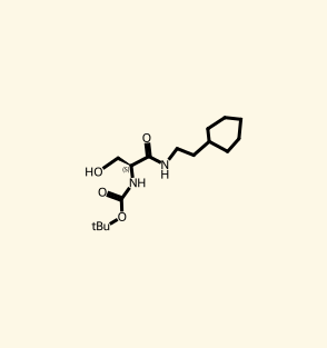 CC(C)(C)OC(=O)N[C@@H](CO)C(=O)NCCC1CCCCC1